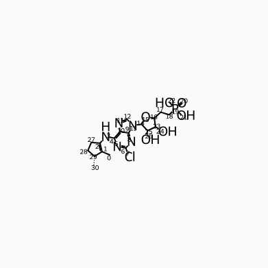 CC1=C(Nc2nc(Cl)nc3c2ncn3C2OC(CCP(=O)(O)O)C(O)C2O)CC[C@H]1C